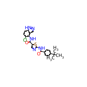 CC(C)(C)c1ccc(C(=O)Nc2ncc(C(=O)Nc3c(Cl)ccc4[nH]ncc34)s2)cc1